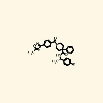 Cc1nc(-c2ccc(C(=O)N3CCC(C(=O)N[C@@H](C)c4ccc(F)cc4)(c4ccccc4)CC3)cc2)no1